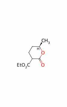 CCOC(=O)C1CC[C@@H](C)OC1=O